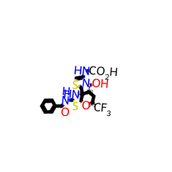 O=C(O)Nc1csc([C@]2(NC(=S)NC(=O)c3ccccc3)CO[C@@H](C(F)(F)F)C[C@H]2CO)n1